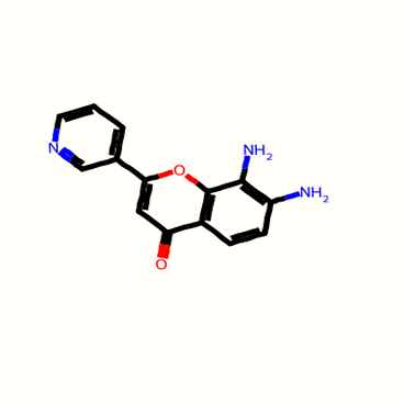 Nc1ccc2c(=O)cc(-c3cccnc3)oc2c1N